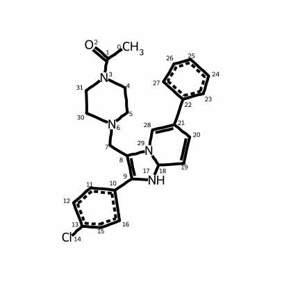 CC(=O)N1CCN(CC2=C(c3ccc(Cl)cc3)NC3C=CC(c4ccccc4)=CN23)CC1